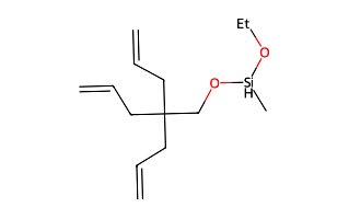 C=CCC(CC=C)(CC=C)CO[SiH](C)OCC